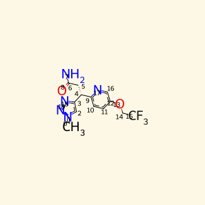 Cn1cc([C@H](CC(N)=O)c2ccc(OCC(F)(F)F)cn2)nn1